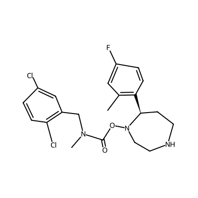 Cc1cc(F)ccc1[C@H]1CCNCCN1OC(=O)N(C)Cc1cc(Cl)ccc1Cl